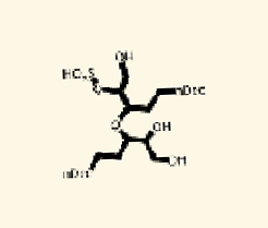 CCCCCCCCCCCCC(OC(CCCCCCCCCCCC)C(CO)OS(=O)(=O)O)C(O)CO